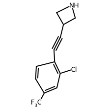 FC(F)(F)c1ccc(C#CC2CNC2)c(Cl)c1